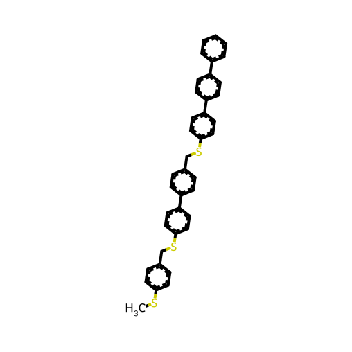 CSc1ccc(CSc2ccc(-c3ccc(CSc4ccc(-c5ccc(-c6ccccc6)cc5)cc4)cc3)cc2)cc1